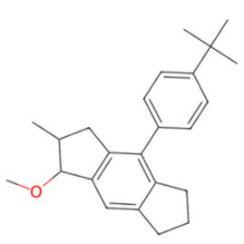 COC1c2cc3c(c(-c4ccc(C(C)(C)C)cc4)c2CC1C)CCC3